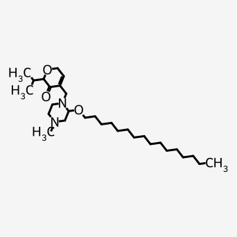 CCCCCCCCCCCCCCCCOC1CN(C)CCN1CC1=CCOC(C(C)C)C1=O